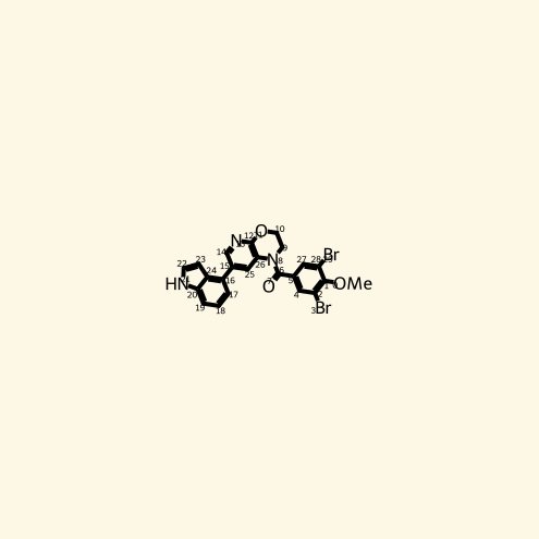 COc1c(Br)cc(C(=O)N2CCOc3ncc(-c4cccc5[nH]ccc45)cc32)cc1Br